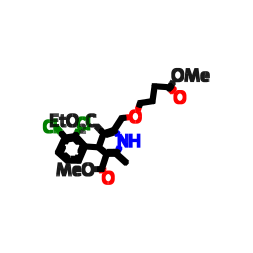 CCOC(=O)C1=C(COCCCC(=O)OC)NC(C)=C(C(=O)OC)C1c1cccc(Cl)c1Cl